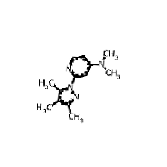 Cc1nn(-c2cc(N(C)C)ccn2)c(C)c1C